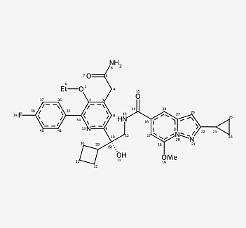 CCOc1c(CC(N)=O)cc([C@@](O)(CNC(=O)c2cc(OC)n3nc(C4CC4)cc3c2)C2CCC2)nc1-c1ccc(F)cc1